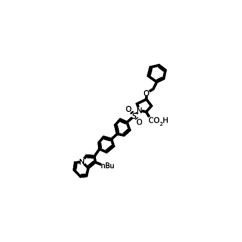 CCCCc1c(-c2ccc(-c3ccc(S(=O)(=O)N4CC(OCc5ccccc5)CC4C(=O)O)cc3)cc2)cn2ccccc12